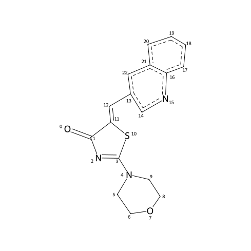 O=C1N=C(N2CCOCC2)S/C1=C\c1cnc2ccccc2c1